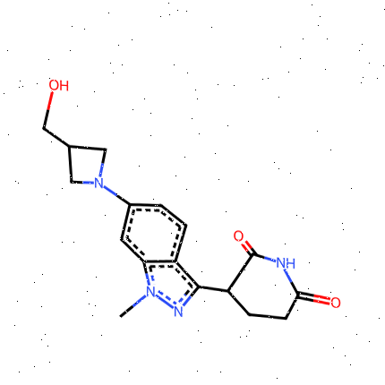 Cn1nc(C2CCC(=O)NC2=O)c2ccc(N3CC(CO)C3)cc21